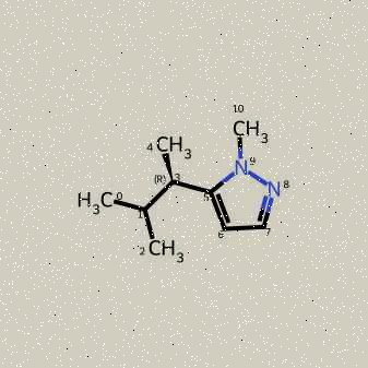 CC(C)[C@@H](C)c1ccnn1C